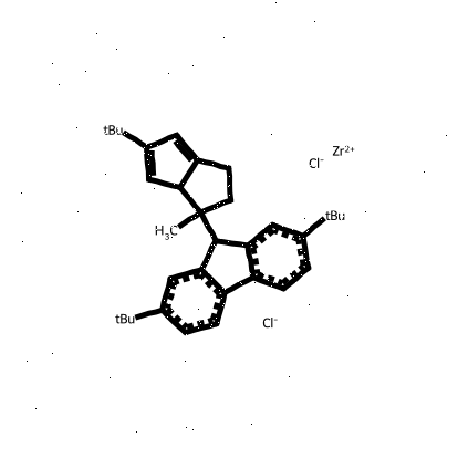 CC(C)(C)C1=CC2C(=C1)CCC2(C)C1c2cc(C(C)(C)C)ccc2-c2ccc(C(C)(C)C)cc21.[Cl-].[Cl-].[Zr+2]